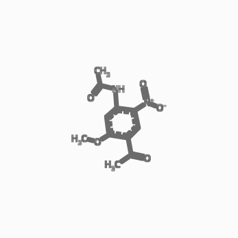 COc1cc(NC(C)=O)c([N+](=O)[O-])cc1C(C)=O